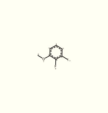 COc1cccc(I)c1F